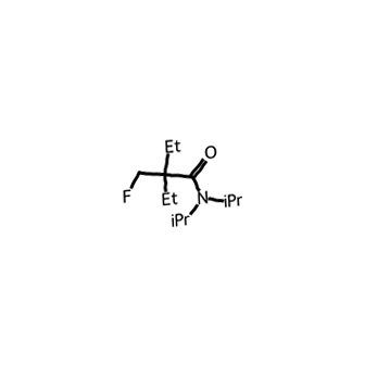 CCC(CC)(CF)C(=O)N(C(C)C)C(C)C